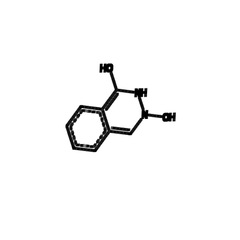 OC1=c2ccccc2=CN(O)N1